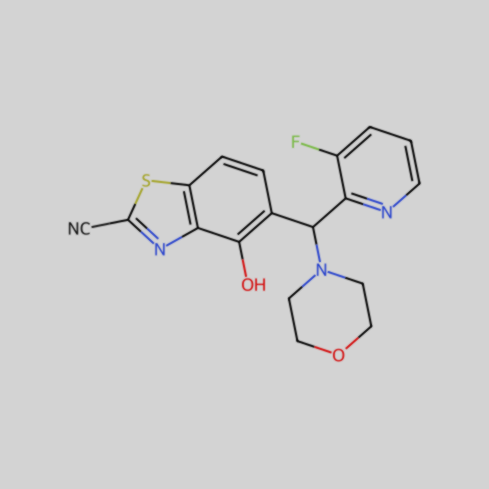 N#Cc1nc2c(O)c(C(c3ncccc3F)N3CCOCC3)ccc2s1